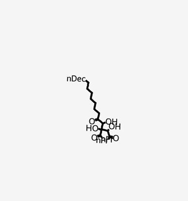 CCCCCCCCCCCCCCCCCC(=O)C(O)C(O)(C(=O)CCC)C(O)C(=O)CCC